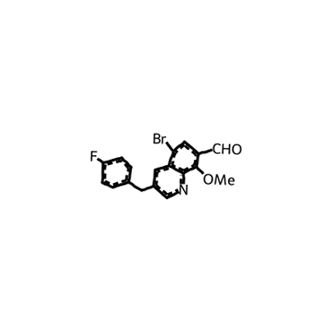 COc1c(C=O)cc(Br)c2cc(Cc3ccc(F)cc3)cnc12